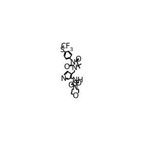 CC1(C)C(=O)N(c2ccc(SC(F)(F)F)cc2)C(=O)N1Cc1ccncc1NS(=O)(=O)N1CCOCC1